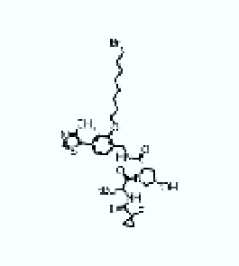 Cc1ncsc1-c1ccc(CNC(=O)[C@@H]2C[C@@H](O)CN2C(=O)[C@@H](NC(=O)C2(F)CC2)C(C)(C)C)c(OCCCCCCCCBr)c1